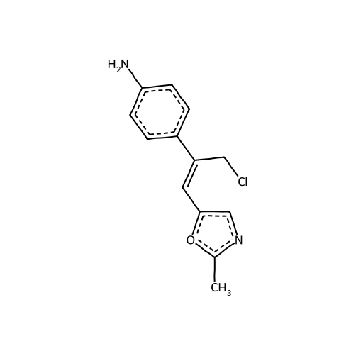 Cc1ncc(/C=C(\CCl)c2ccc(N)cc2)o1